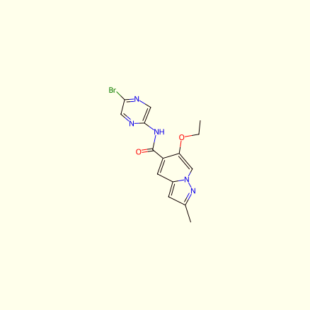 CCOc1cn2nc(C)cc2cc1C(=O)Nc1cnc(Br)cn1